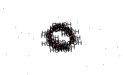 OCC1O[C@H]2O[C@@H]3C(CO)O[C@H](O[C@@H]4C(CO)O[C@H](O[C@@H]5C(CO)O[C@H](O[C@@H]6C(CO)O[C@H](O[C@@H]7C(CO)O[C@H](O[C@@H]8C(CO)OC(O[C@@H]9C(CO)O[C@H](O[C@H](C2O)[C@@H]1O)C(O)[C@H]9O)[C@@H](O)[C@H]8O)C(O)[C@H]7O)C(O)[C@H]6O)C(O)[C@H]5O)C(O)[C@H]4O)C(O)[C@H]3O